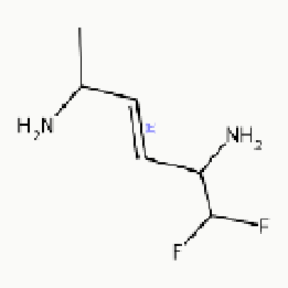 CC(N)/C=C/C(N)C(F)F